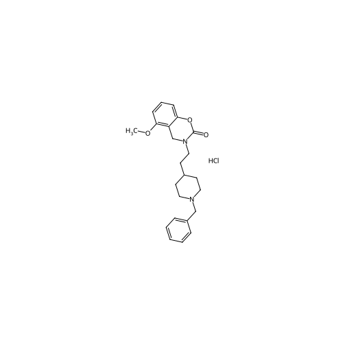 COc1cccc2c1CN(CCC1CCN(Cc3ccccc3)CC1)C(=O)O2.Cl